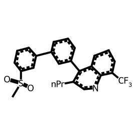 CCCc1cnc2c(C(F)(F)F)cccc2c1-c1cccc(-c2cccc(S(C)(=O)=O)c2)c1